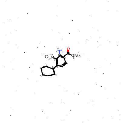 COC(=O)c1ccc(C2CCCCC2)c([N+](=O)[O-])c1N